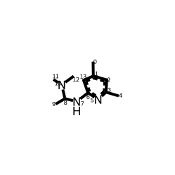 Cc1cc(C)nc(NC(C)N(C)C)c1